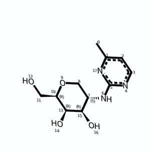 Cc1ccnc(N[C@H]2CO[C@H](CO)[C@H](O)[C@@H]2O)n1